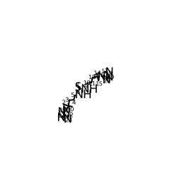 CC(C)(CCCNC(=S)NCCCC(C)(C)n1cnnn1)n1cnnn1